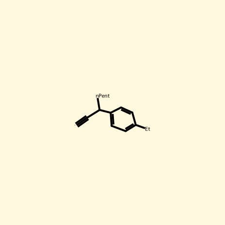 [C]#CC(CCCCC)c1ccc(CC)cc1